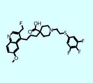 COc1ccc2ncc(CF)c(CCCC3(C(=O)O)CCN(CCSc4cc(F)c(F)c(F)c4)CC3)c2c1